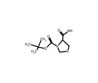 CC(C)(C)OC(=O)N1CSCC1C([NH])=O